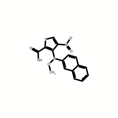 CON(c1ccc2ccccc2c1)c1c([N+](=O)[O-])csc1C(=O)O